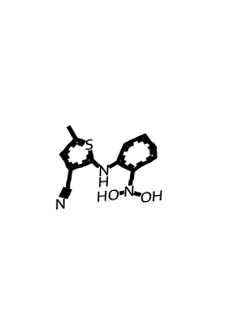 Cc1cc(C#N)c(Nc2ccccc2N(O)O)s1